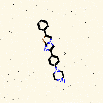 c1ccc(-c2cn3cc(-c4ccc(N5CCNCC5)cc4)nc3s2)cc1